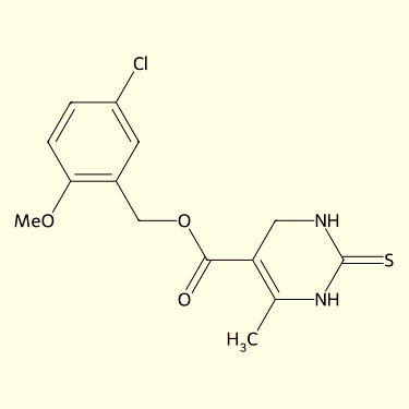 COc1ccc(Cl)cc1COC(=O)C1=C(C)NC(=S)NC1